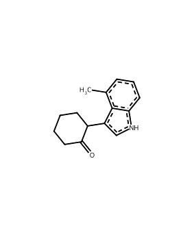 Cc1cccc2[nH]cc(C3CCCCC3=O)c12